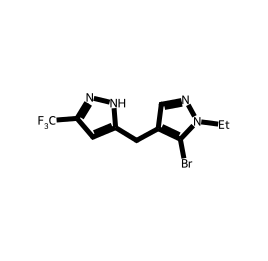 CCn1ncc(Cc2cc(C(F)(F)F)n[nH]2)c1Br